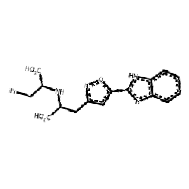 CC(C)CC(NC(Cc1cc(-c2nc3ccccc3[nH]2)on1)C(=O)O)C(=O)O